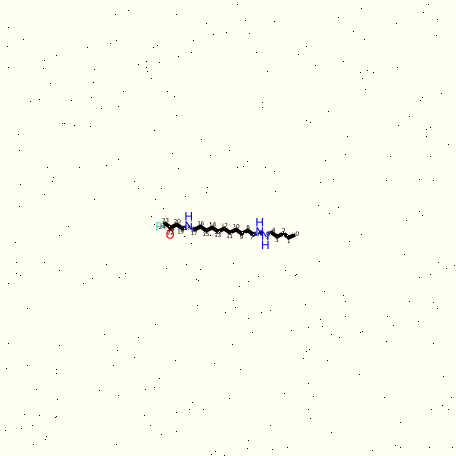 CCCCCNNCCCCCCCCCCCNCCC(=O)CF